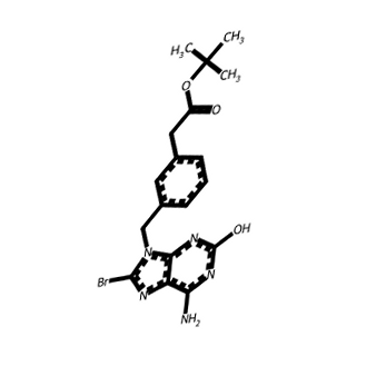 CC(C)(C)OC(=O)Cc1cccc(Cn2c(Br)nc3c(N)nc(O)nc32)c1